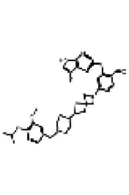 COc1cc(CN2CCN(C3CC4(C3)CN(c3ccc(C=O)c(Oc5cnc6[nH]cc(F)c6c5)c3)C4)CC2)ccc1OC(C)C